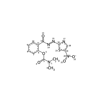 CN(C)C(=O)Oc1ccccc1C(=O)N=Nc1ncc([N+](=O)[O-])s1